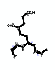 C/N=N\C=C(\CCN(C=O)CCC(=O)O)N/N=C\C(C)C